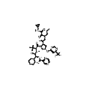 CCCC(NC(=O)[C@H]1C[C@H](Oc2cc(C(F)(F)F)ncn2)CN1C(=O)C(NC(=O)C(NC(=O)c1cnccn1)C1CCCCC1)C(C)(C)C)C(=O)C(=O)NC1CC1